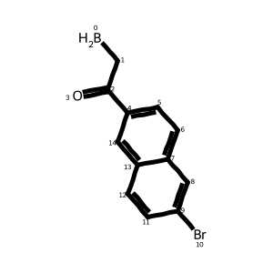 BCC(=O)c1ccc2cc(Br)ccc2c1